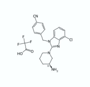 N#Cc1ccc(Cn2c(N3CCC[C@H](N)C3)nc3c(Cl)cccc32)cc1.O=C(O)C(F)(F)F